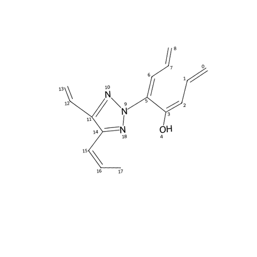 C=C/C=C(O)\C(=C/C=C)n1nc(C=C)c(/C=C\C)n1